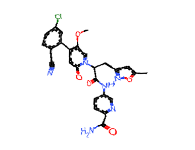 COc1cn(C(Cc2cc(C)on2)C(=O)Nc2ccc(C(N)=O)nc2)c(=O)cc1-c1cc(Cl)ccc1C#N